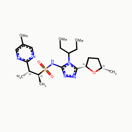 COCC(COC)n1c(NS(=O)(=O)[C@@H](C)[C@H](C)c2ncc(OC)cn2)nnc1[C@@H]1CC[C@H](C)O1